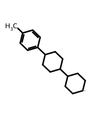 Cc1ccc(C2CCC(C3CC[CH]CC3)CC2)cc1